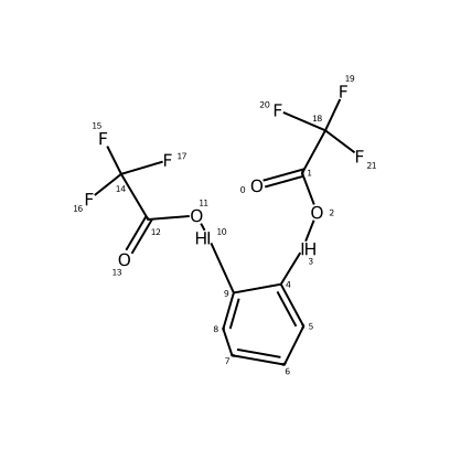 O=C(O[IH]c1ccccc1[IH]OC(=O)C(F)(F)F)C(F)(F)F